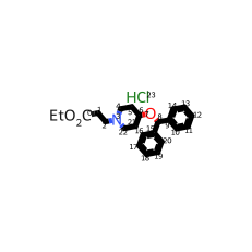 CCOC(=O)CCN1CCC(OC(c2ccccc2)c2ccccc2)CC1.Cl